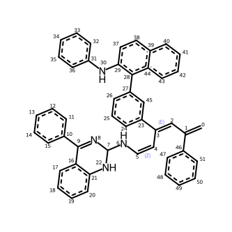 C=C(/C=C(\C=C/NC1N=C(c2ccccc2)c2ccccc2N1)c1cccc(-c2c(Nc3ccccc3)ccc3ccccc23)c1)c1ccccc1